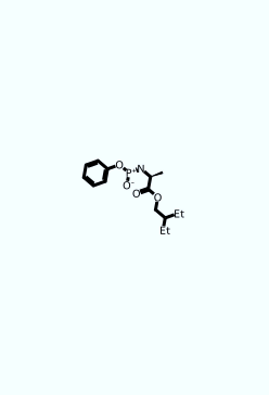 CCC(CC)COC(=O)[C@H](C)N=[P+]([O-])Oc1ccccc1